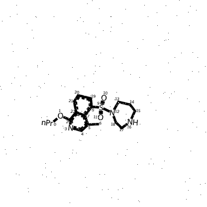 CCCOc1ncc(C)c2c(S(=O)(=O)N3CCCNCC3)cccc12